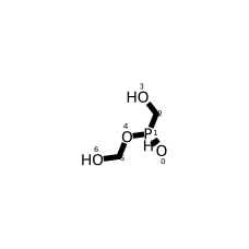 O=[PH](CO)OCO